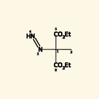 CCOC(=O)C(C)(N=N)C(=O)OCC